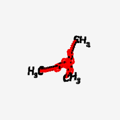 CCCCCCCCCCCCCCOc1ccc(CCC(=O)OC[C@H]2O[C@H](c3ccc(OCCCCCC)cc3)CC[C@@H]2OC(=O)CCc2ccc(OCCCCCCCCCCCCCC)cc2)cc1